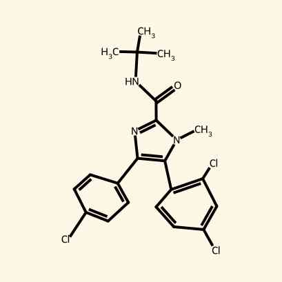 Cn1c(C(=O)NC(C)(C)C)nc(-c2ccc(Cl)cc2)c1-c1ccc(Cl)cc1Cl